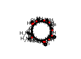 CCCC[C@H]1C(=O)N(C)[C@@H](CCCC)C(=O)N[C@@H](CCCNC(=N)N)C(=O)N[C@H](C(=O)NCC(N)=O)CSCC(=O)C[C@@H](Cc2ccc(O)cc2)C(=O)N(C)CC(=O)N[C@@H](CC(N)=O)C(=O)N2CCC[C@H]2C(=O)N[C@@H](C(C)c2cnc[nH]2)C(=O)N[C@@H](CC(C)C)C(=O)N2CCC[C@H]2C(=O)N[C@@H](Cc2c[nH]c3ccccc23)C(=O)N[C@@H](CO)C(=O)N[C@@H](Cc2csc3ccccc23)C(=O)N1C